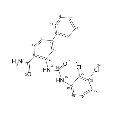 NC(=O)c1ccc(-c2ccccc2)cc1NC(=O)Nc1cccc(Cl)c1Cl